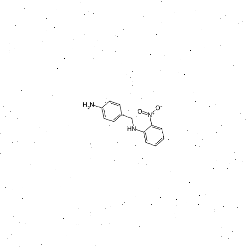 Nc1ccc(CNc2ccccc2[N+](=O)[O-])cc1